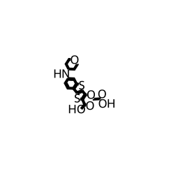 O=C(O)COc1c(C(=O)O)sc2c1sc1cc(NC3CCOCC3)ccc12